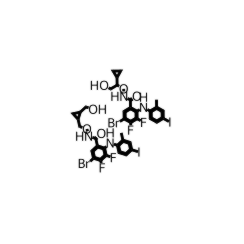 Cc1cc(I)ccc1Nc1c(C(=O)NOC(CO)C2CC2)cc(Br)c(F)c1F.Cc1cc(I)ccc1Nc1c(C(=O)NOCC2CC2CO)cc(Br)c(F)c1F